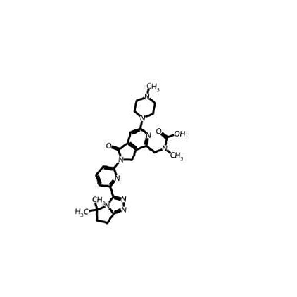 CN1CCN(c2cc3c(c(CN(C)C(=O)O)n2)CN(c2cccc(-c4nnc5n4C(C)(C)CC5)n2)C3=O)CC1